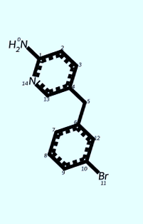 Nc1ccc(Cc2cccc(Br)c2)cn1